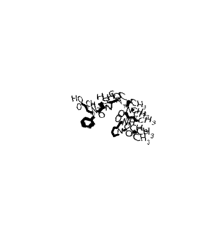 CC[C@H](C)[C@H](NC(=O)C1CCCCN1C(=O)OC(C)(C)C)C(=O)N(C)[C@H](C[C@@H](OC)c1nc(C(=O)N[C@@H](Cc2ccccc2)C[C@H](C)C(=O)O)cs1)C(C)C